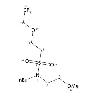 CCCCN(CCOC)S(=O)(=O)CCOCC(F)(F)F